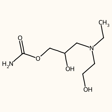 CCN(CCO)CC(O)COC(N)=O